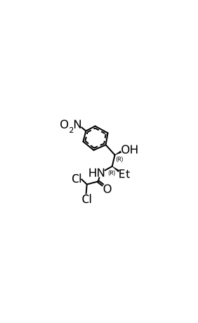 CC[C@@H](NC(=O)C(Cl)Cl)[C@H](O)c1ccc([N+](=O)[O-])cc1